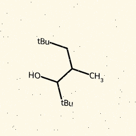 CC(CC(C)(C)C)C(O)C(C)(C)C